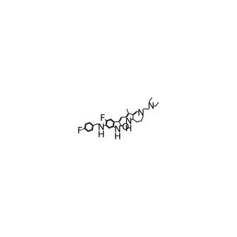 CCN(CC)CCN1C=C2C(C)=C(C=C3C(=O)Nc4cc(NCc5ccc(F)cc5)c(F)cc43)NC2CCC1